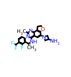 Cc1nc(N[C@H](C)c2cccc(C(F)F)c2F)c2cc(N3CC(N)C3)c3c(c2n1)CCO3